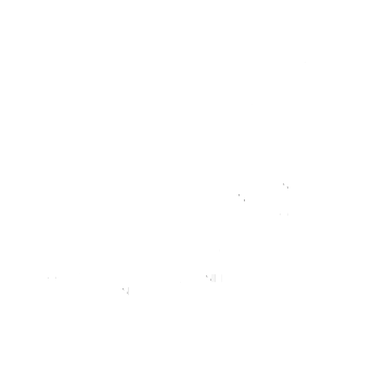 COCCN1CCC(NC(=O)Cc2nc(CS(=O)(=O)c3ccc(C)cc3)no2)C(C)(C)C1